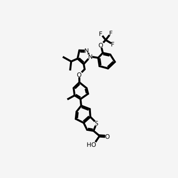 Cc1cc(OCc2c(C(C)C)cnn2-c2ccccc2OC(F)(F)F)ccc1-c1ccc2cc(C(=O)O)sc2c1